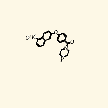 CN1CCN(C(=O)c2ccc(Oc3ccc4c(C=O)cccc4c3)cc2)CC1